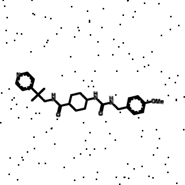 COc1ccc(CNC(=O)NC2CCC(C(=O)NCC(C)(C)c3ccncc3)CC2)cc1